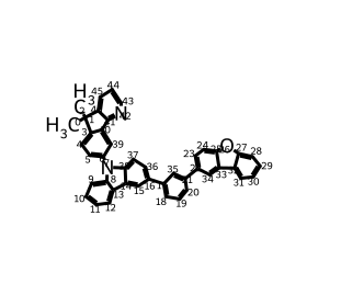 CC1(C)c2ccc(-n3c4ccccc4c4cc(-c5cccc(-c6ccc7oc8ccccc8c7c6)c5)ccc43)cc2-c2ncccc21